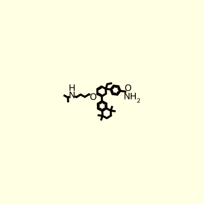 CCC1(c2ccc(C(N)=O)cc2)C=CC(OCCCCNC(C)C)=C(c2ccc3c(c2)C(C)(C)CCC3(C)C)C1